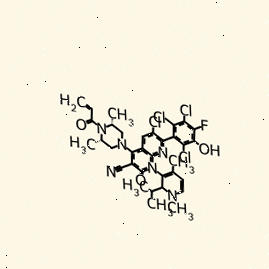 C=CC(=O)N1[C@H](C)CN(c2c(C#N)c(=O)n(C3=C(C)C=CN(C)C3C(C)C)c3nc(-c4c(Cl)c(O)c(F)c(Cl)c4Cl)c(Cl)cc23)C[C@@H]1C